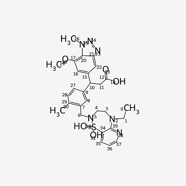 CCN1CCN(Cc2cc(C(CC(=O)O)c3cc(OC)c4c(c3)nnn4C)ccc2C)S(O)(O)c2cccnc21